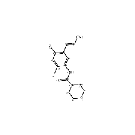 CON=Cc1cc(NC(=O)N2CCOCN2)c(F)cc1Cl